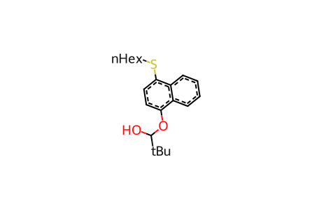 CCCCCCSc1ccc(OC(O)C(C)(C)C)c2ccccc12